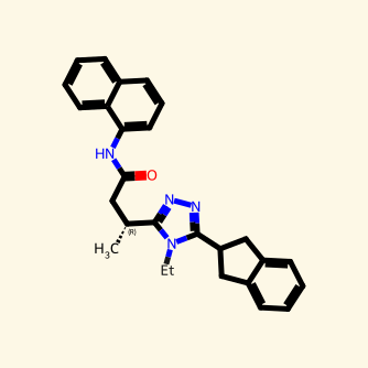 CCn1c(C2Cc3ccccc3C2)nnc1[C@H](C)CC(=O)Nc1cccc2ccccc12